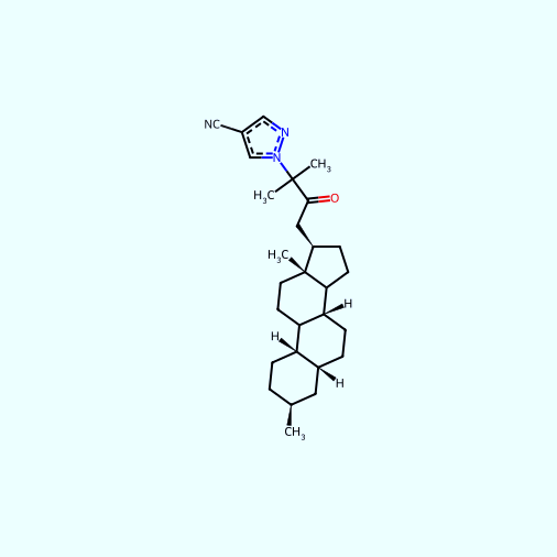 C[C@H]1CC[C@@H]2C3CC[C@@]4(C)C(CC[C@@H]4CC(=O)C(C)(C)n4cc(C#N)cn4)[C@@H]3CC[C@@H]2C1